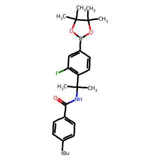 CC(C)(C)c1ccc(C(=O)NC(C)(C)c2ccc(B3OC(C)(C)C(C)(C)O3)cc2F)cc1